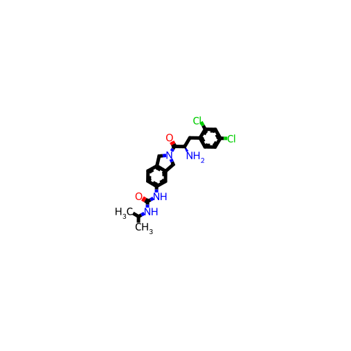 CC(C)NC(=O)Nc1ccc2c(c1)CN(C(=O)[C@H](N)Cc1ccc(Cl)cc1Cl)C2